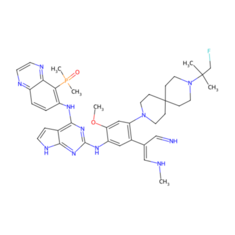 CN/C=C(\C=N)c1cc(Nc2nc(Nc3ccc4nccnc4c3P(C)(C)=O)c3cc[nH]c3n2)c(OC)cc1N1CCC2(CC1)CCN(C(C)(C)CF)CC2